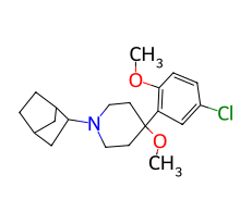 COc1ccc(Cl)cc1C1(OC)CCN(C2CC3CCC2C3)CC1